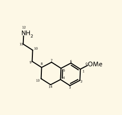 COc1ccc2c(c1)CC(CCCN)CC2